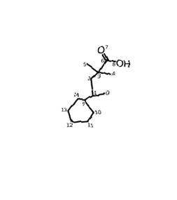 CC(CC(C)(C)C(=O)O)C1CCCCC1